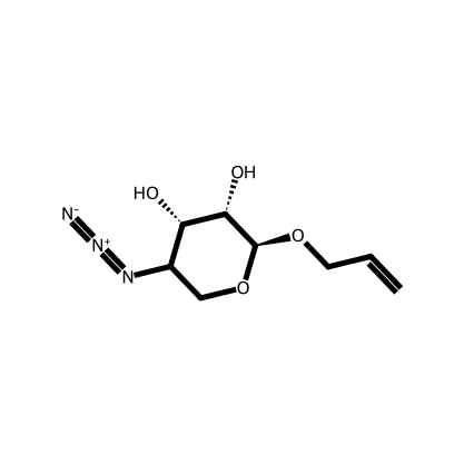 C=CCO[C@H]1OCC(N=[N+]=[N-])[C@H](O)[C@@H]1O